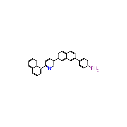 Pc1ccc(-c2ccc3ccc(-c4ccc(-c5cccc6ccccc56)nc4)cc3c2)cc1